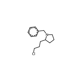 ClCCCC1CCCN1Cc1ccccc1